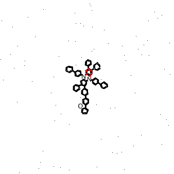 c1ccc(-c2ccc(N(c3ccc(-c4ccccc4)cc3)c3cc(-c4ccccc4)c(-c4ccc(-c5ccc6c(c5)oc5ccccc56)cc4)cc3N(c3ccc(-c4ccccc4)cc3)c3ccc(-c4ccccc4)cc3)cc2)cc1